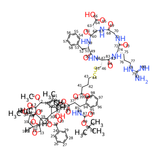 CO[C@H]1C(=O)[C@]2(C)[C@@H](OC)C[C@H]3OC[C@@]3(OC(C)=O)[C@H]2[C@H](OC(=O)c2ccccc2)[C@]2(O)C[C@H](OC(=O)[C@H](OC(=O)CCCSSC[C@@H]3NC(=O)[C@@H](Cc4ccccc4)NC(=O)[C@H](CC(=O)O)NC(=O)CNC(=O)[C@H](CCCNC(=N)N)NC3=O)[C@@H](NC(=O)OC(C)(C)C)c3ccccc3)C(C)=C1C2(C)C